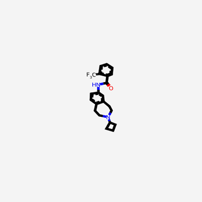 O=C(Nc1ccc2c(c1)CCN(C1CCC1)CC2)c1ccccc1C(F)(F)F